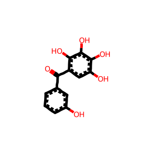 O=C(c1cccc(O)c1)c1cc(O)c(O)c(O)c1O